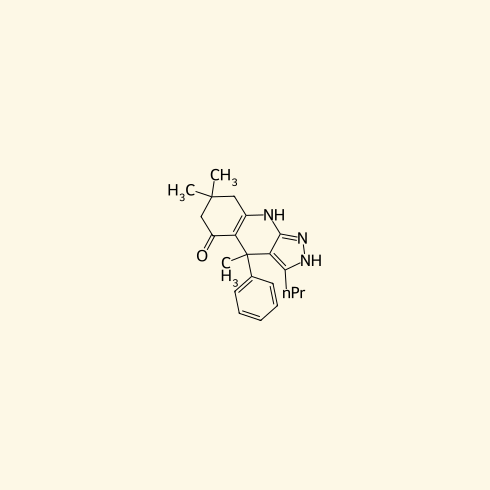 CCCc1[nH]nc2c1C(C)(c1ccccc1)C1=C(CC(C)(C)CC1=O)N2